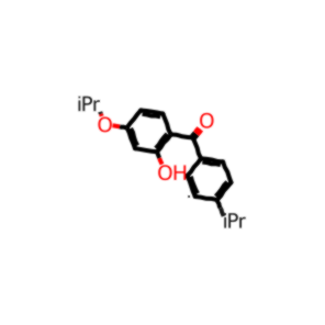 CC(C)Oc1ccc(C(=O)c2c[c]c(C(C)C)cc2)c(O)c1